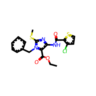 CCOC(=O)c1c(NC(=O)c2sccc2Cl)nc(SC)n1Cc1ccccc1